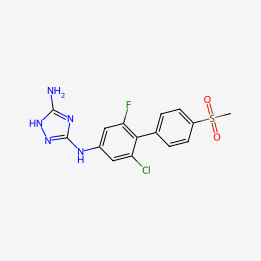 CS(=O)(=O)c1ccc(-c2c(F)cc(Nc3n[nH]c(N)n3)cc2Cl)cc1